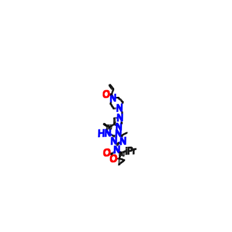 C=CC(=O)N1CCN(Cn2cnc([C@H](C)Nc3nc(C)nc(N4C(=O)OC5(CC5)[C@@H]4C(C)C)n3)c2)CC1